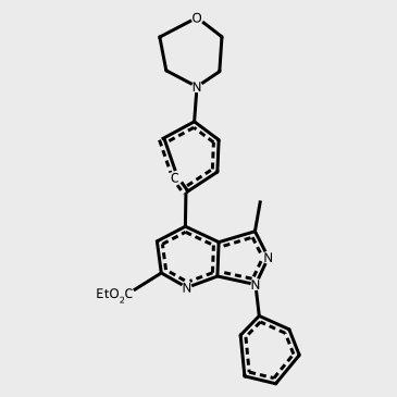 CCOC(=O)c1cc(-c2ccc(N3CCOCC3)cc2)c2c(C)nn(-c3ccccc3)c2n1